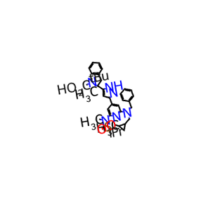 CC1CC1CN(Cc1ccccc1)c1cc(-c2cc([C@@](C)(Cc3ccccc3)N(C(=O)O)C(C)(C)C)[nH]n2)cc(N(C)S(=O)(=O)C(C)C)n1